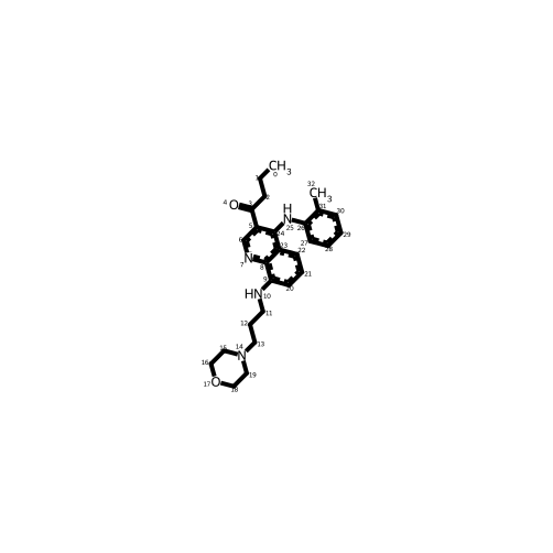 CCCC(=O)c1cnc2c(NCCCN3CCOCC3)cccc2c1Nc1ccccc1C